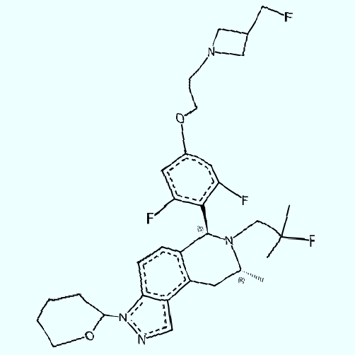 C[C@@H]1Cc2c(ccc3c2cnn3C2CCCCO2)[C@@H](c2c(F)cc(OCCN3CC(CF)C3)cc2F)N1CC(C)(C)F